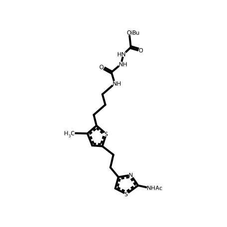 CC(=O)Nc1nc(CCc2cc(C)c(CCCNC(=O)NNC(=O)OCC(C)C)s2)cs1